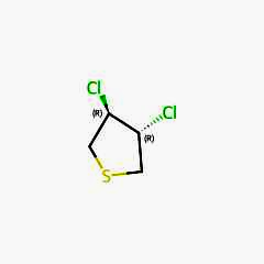 Cl[C@@H]1CSC[C@H]1Cl